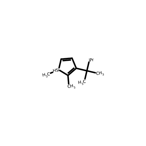 CC1=C(C(C)(C)C(C)C)C=C[SiH]1C